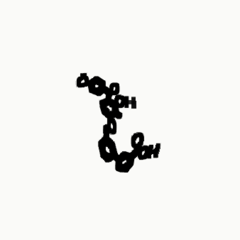 COc1ccc(C(=O)c2ccc(OCc3cccc(-c4cccc(C(=O)O)c4)c3)c(C)c2O)cc1